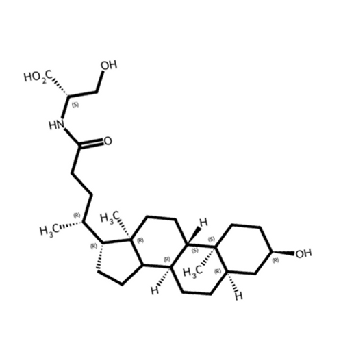 C[C@H](CCC(=O)N[C@@H](CO)C(=O)O)[C@H]1CCC2[C@@H]3CC[C@@H]4C[C@H](O)CC[C@]4(C)[C@H]3CC[C@@]21C